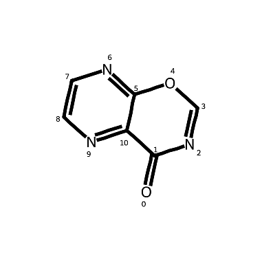 O=c1ncoc2nccnc12